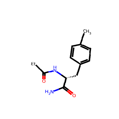 CCC(=O)N[C@H](Cc1ccc(C)cc1)C(N)=O